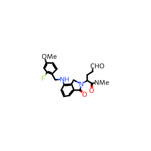 CNC(=O)C(CCC=O)N1Cc2c(NCc3ccc(OC)cc3F)cccc2C1=O